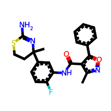 Cc1noc(-c2ccccc2)c1C(=O)Nc1cc(C2(C)CCSC(N)=N2)ccc1F